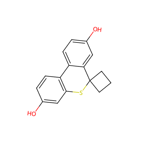 Oc1ccc2c(c1)SC1(CCC1)c1cc(O)ccc1-2